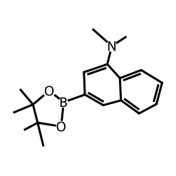 CN(C)c1cc(B2OC(C)(C)C(C)(C)O2)cc2ccccc12